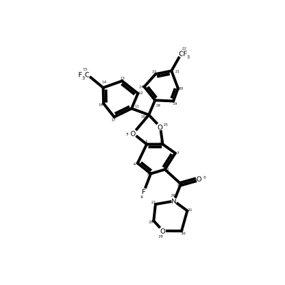 O=C(c1cc2c(cc1F)OC(c1ccc(C(F)(F)F)cc1)(c1ccc(C(F)(F)F)cc1)O2)N1CCOCC1